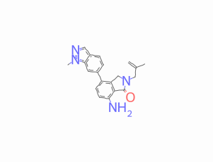 C=C(C)CN1Cc2c(-c3ccc4cnn(C)c4c3)ccc(N)c2C1=O